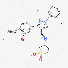 COc1ccc(-c2nn(-c3ccccc3)cc2/C=N/C2CCS(=O)(=O)C2)cc1Br